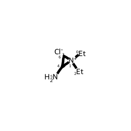 CC[N+]1(CC)CC1N.[Cl-]